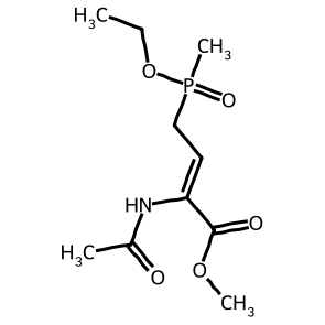 CCOP(C)(=O)C/C=C(\NC(C)=O)C(=O)OC